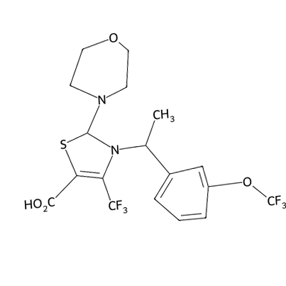 CC(c1cccc(OC(F)(F)F)c1)N1C(C(F)(F)F)=C(C(=O)O)SC1N1CCOCC1